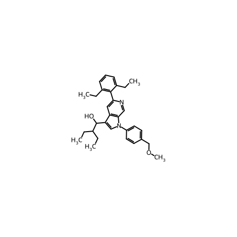 CCc1cccc(CC)c1-c1cc2c(C(O)C(CC)CC)cn(-c3ccc(COC)cc3)c2cn1